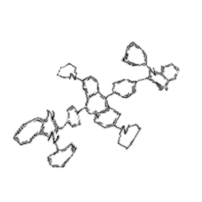 c1ccc(-n2c(-c3ccc(-c4c5ccc(N6CCCCC6)cc5c(-c5ccc(-c6nc7ccccc7n6-c6ccccc6)cc5)c5ccc(N6CCCCC6)cc45)cc3)nc3ccccc32)cc1